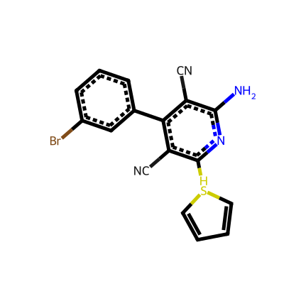 N#Cc1c(N)nc([SH]2C=CC=C2)c(C#N)c1-c1cccc(Br)c1